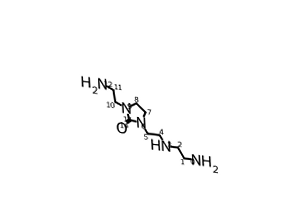 NCCNCCN1CCN(CCN)C1=O